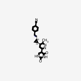 Cc1nnc(-c2c[nH]c(=O)[nH]c2=O)cc1[C@H]1C[C@@H]1/C=C/c1ccc(C#N)cc1